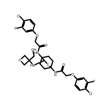 O=C(COc1ccc(Cl)c(F)c1)NC12CCC(NC(=O)COc3ccc(Cl)c(F)c3)(CC1)C(NC1(CO)COC1)C2